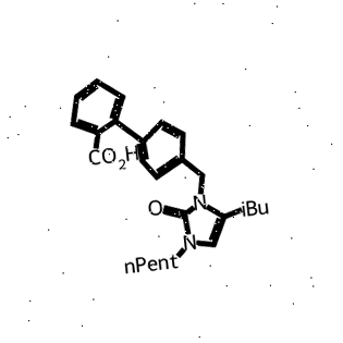 CCCCCn1cc(C(C)CC)n(Cc2ccc(-c3ccccc3C(=O)O)cc2)c1=O